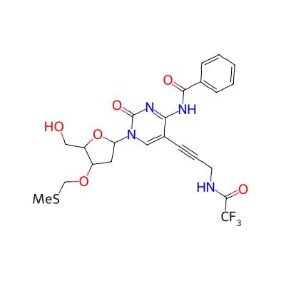 CSCOC1CC(n2cc(C#CCNC(=O)C(F)(F)F)c(NC(=O)c3ccccc3)nc2=O)OC1CO